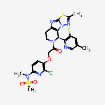 Cc1cnc([C@@H]2c3c(nc4sc(C)nn34)CCN2C(=O)COc2ccc(N(C)S(C)(=O)=O)nc2Cl)c(F)c1